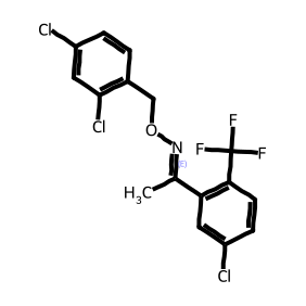 C/C(=N\OCc1ccc(Cl)cc1Cl)c1cc(Cl)ccc1C(F)(F)F